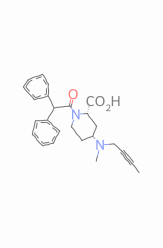 CC#CCN(C)[C@@H]1CCN(C(=O)C(c2ccccc2)c2ccccc2)[C@H](C(=O)O)C1